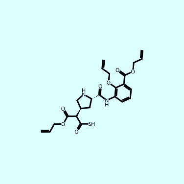 C=CCOC(=O)c1cccc(NC(=O)[C@@H]2C[C@@H](C(C(=O)S)C(=O)OCC=C)CN2)c1OCC=C